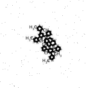 Cc1ccc(C)c(-c2cc(-c3cc(C)ccc3C)c(F)c(N(c3ccccc3)c3ccc4ccc5c(N(c6ccccc6)c6cc(-c7cc(C)ccc7C)cc(-c7cc(C)ccc7C)c6F)ccc6ccc3c4c65)c2)c1